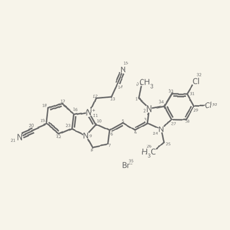 CCN1C(=CC=C2CCn3c2[n+](CCC#N)c2ccc(C#N)cc23)N(CC)c2cc(Cl)c(Cl)cc21.[Br-]